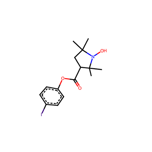 CC1(C)CC(C(=O)Oc2ccc(I)cc2)C(C)(C)N1O